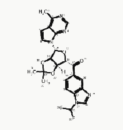 Cc1ncnc2c1ccn2[C@@H]1O[C@H](C(=O)c2ccc3c(c2)ncn3C(F)F)[C@H]2OC(C)(C)OC12